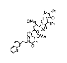 CC[C@H](C)C([C@@H](CC(=O)N1CCC[C@H]1[C@H](OC)[C@@H](C)C(=O)NCCc1ccc2cccnc2c1)OC)N(C)C(=O)[C@@H](NC(=O)C(C(C)C)N(C)C)C(C)C